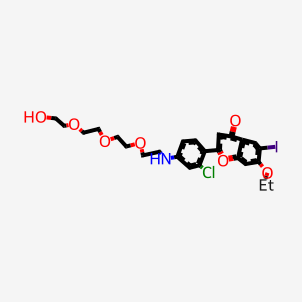 CCOc1cc2oc(-c3ccc(NCCOCCOCCOCCO)cc3Cl)cc(=O)c2cc1I